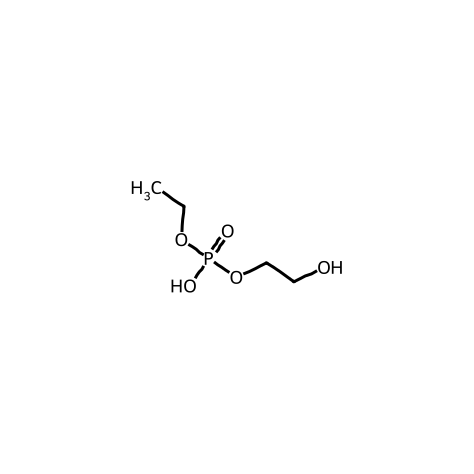 CCOP(=O)(O)OCCO